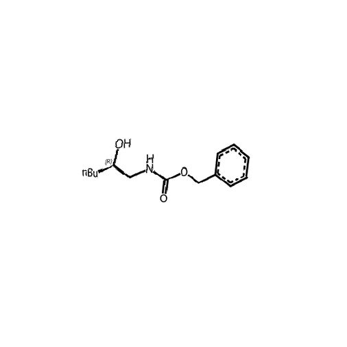 CCCC[C@@H](O)CNC(=O)OCc1ccccc1